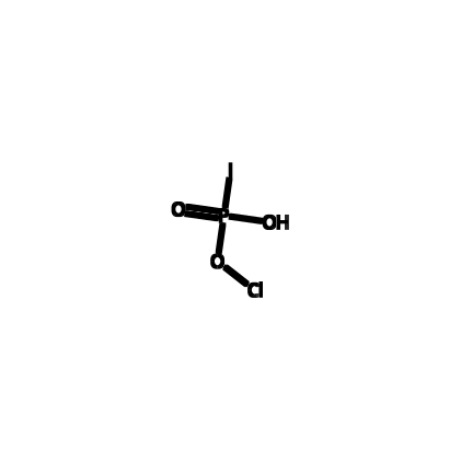 O=P(O)(I)OCl